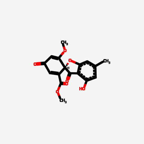 COC(=O)C1=CC(=O)C=C(OC)[C@]12Oc1cc(C)cc(O)c1C2=O